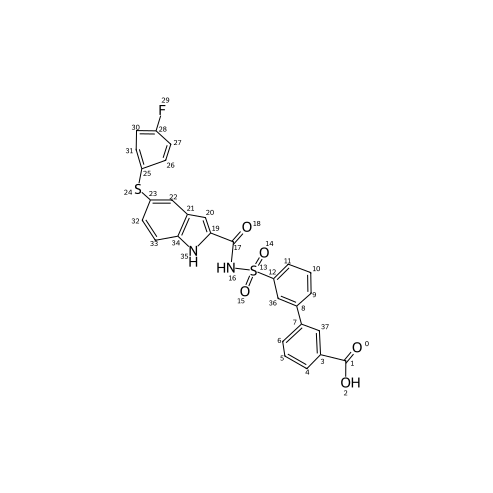 O=C(O)c1cccc(-c2cccc(S(=O)(=O)NC(=O)c3cc4cc(Sc5ccc(F)cc5)ccc4[nH]3)c2)c1